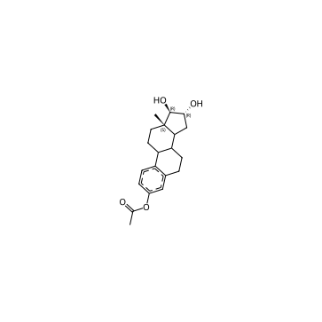 CC(=O)Oc1ccc2c(c1)CCC1C2CC[C@@]2(C)C1C[C@@H](O)[C@@H]2O